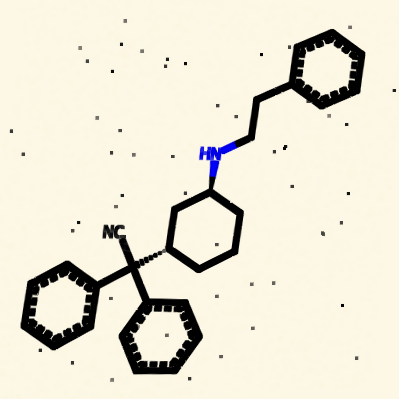 N#CC(c1ccccc1)(c1ccccc1)[C@H]1CCC[C@H](NCCc2ccccc2)C1